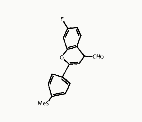 CSc1ccc(C2=CC(C=O)c3ccc(F)cc3O2)cc1